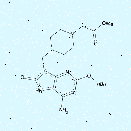 CCCCOc1nc(N)c2[nH]c(=O)n(CC3CCN(CC(=O)OC)CC3)c2n1